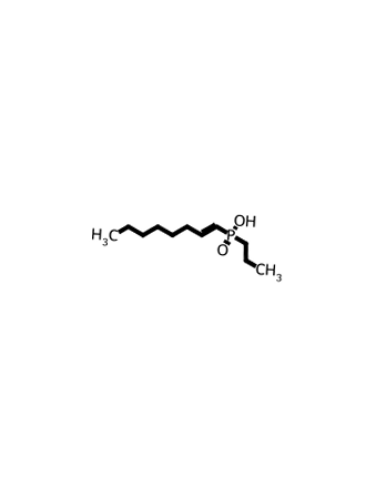 CCCCCCC=CP(=O)(O)CCC